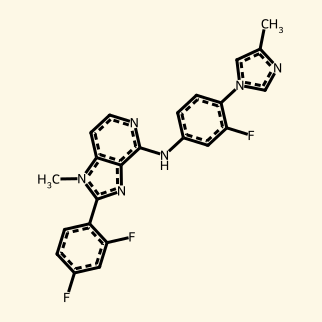 Cc1cn(-c2ccc(Nc3nccc4c3nc(-c3ccc(F)cc3F)n4C)cc2F)cn1